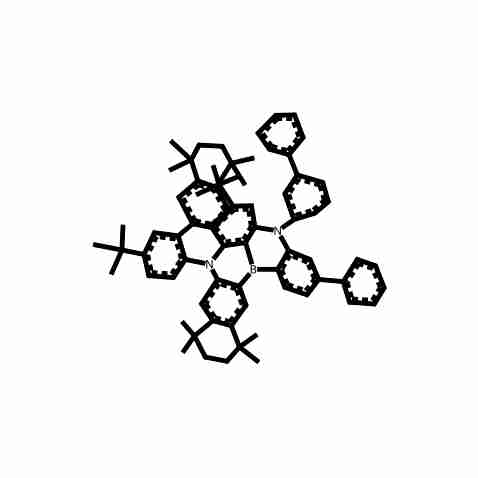 CC(C)(C)c1ccc(N2c3cc4c(cc3B3c5ccc(-c6ccccc6)cc5N(c5cccc(-c6ccccc6)c5)c5cc(C(C)(C)C)cc2c53)C(C)(C)CCC4(C)C)c(-c2ccc3c(c2)C(C)(C)CCC3(C)C)c1